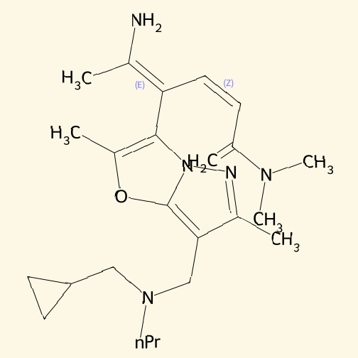 C=C(/C=C\C(=C(\C)N)c1c(C)oc2c(CN(CCC)CC3CC3)c(C)nn12)N(C)C